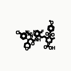 COc1ccc(S(=O)(=O)N2C(C)CN(C(=O)O)CC2CCc2c(F)cncc2NC(=O)[C@@H](N=[N+]=[N-])[C@@H](c2ccc(Cl)cc2)C2CCOCC2)cc1